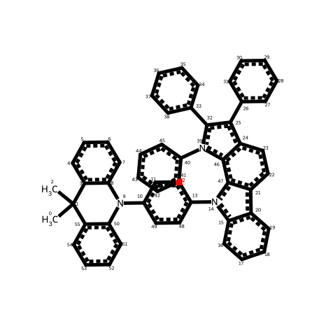 CC1(C)c2ccccc2N(c2ccc(-n3c4ccccc4c4ccc5c(-c6ccccc6)c(-c6ccccc6)n(-c6ccccc6)c5c43)cc2)c2ccccc21